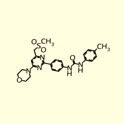 Cc1ccc(NC(=O)Nc2ccc(-c3nc(CS(C)(=O)=O)cc(N4CCOCC4)n3)cc2)cc1